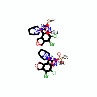 CCS(=O)(=O)c1nc(N2C3CCC2CN(C(=O)OC(C)(C)C)C3)c2c3c(c(Br)c(Cl)c2n1)COC3.CCSc1nc(N2C3CCC2CN(C(=O)OC(C)(C)C)C3)c2c3c(c(Br)c(Cl)c2n1)COC3